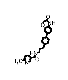 Cc1ccc(C(=O)NCCCc2ccc(-c3ccc4c(c3)OCC(=O)N4)cc2)cn1